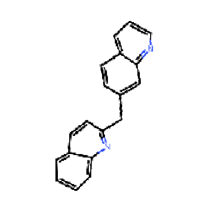 c1cnc2cc(Cc3ccc4ccccc4n3)ccc2c1